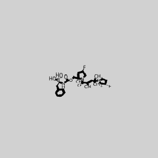 CC(C)(C=C(C#N)C(=O)N1C[C@@H](F)C[C@]1(C)COC(=O)N[C@@H](Cc1ccccc1)B(O)O)N1CC[C@H](F)C1